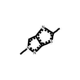 Cc1nc2cn(C)nc2s1